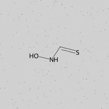 ONC=S